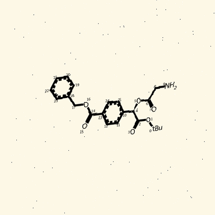 CC(C)(C)OC(=O)[C@H](OC(=O)CN)c1ccc(C(=O)OCc2ccccc2)cc1